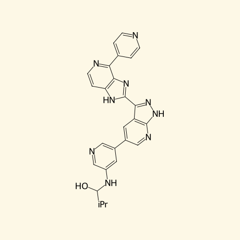 CC(C)C(O)Nc1cncc(-c2cnc3[nH]nc(-c4nc5c(-c6ccncc6)nccc5[nH]4)c3c2)c1